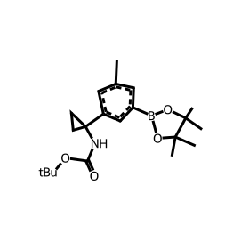 Cc1cc(B2OC(C)(C)C(C)(C)O2)cc(C2(NC(=O)OC(C)(C)C)CC2)c1